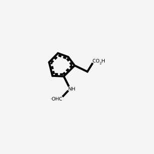 O=[C]Nc1ccccc1CC(=O)O